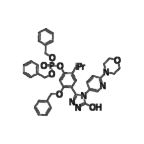 CC(C)c1cc(-c2nnc(O)n2-c2ccc(N3CCOCC3)nc2)c(OCc2ccccc2)cc1OP(=O)(OCc1ccccc1)OCc1ccccc1